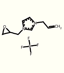 C=CCn1cc[n+](CC2CO2)c1.F[B-](F)(F)F